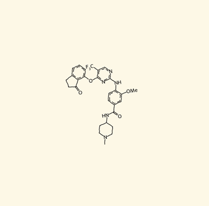 COc1cc(C(=O)NC2CCN(C)CC2)ccc1Nc1ncc(C(F)(F)F)c(Oc2cccc3c2C(=O)CC3)n1